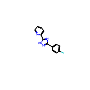 Fc1ccc(-c2n[nH]c(-c3ccccn3)n2)cc1